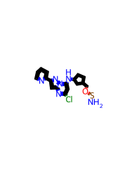 NSOCC1CCC(Nc2cc(Cl)nc3cc(-c4ccccn4)nn23)C1